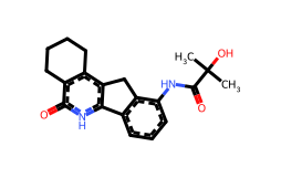 CC(C)(O)C(=O)Nc1cccc2c1Cc1c-2[nH]c(=O)c2c1CCCC2